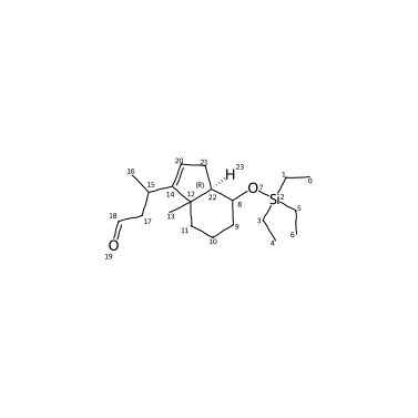 CC[Si](CC)(CC)OC1CCCC2(C)C(C(C)CC=O)=CC[C@@H]12